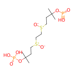 CC(C)(CC[S+]([O-])CC[S+]([O-])CCC(C)(C)OP(=O)(O)O)O[PH](=O)O